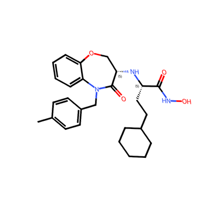 Cc1ccc(CN2C(=O)[C@@H](N[C@@H](CCC3CCCCC3)C(=O)NO)COc3ccccc32)cc1